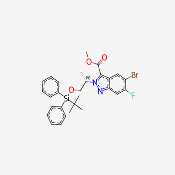 COC(=O)c1c2cc(Br)c(F)cc2nn1[C@@H](C)CO[Si](c1ccccc1)(c1ccccc1)C(C)(C)C